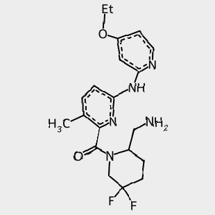 CCOc1ccnc(Nc2ccc(C)c(C(=O)N3CC(F)(F)CCC3CN)n2)c1